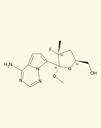 CO[C@@]1(c2ccc3c(N)ncnn23)O[C@H](CO)C[C@@]1(C)F